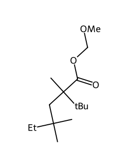 CCC(C)(C)CC(C)(C(=O)OCOC)C(C)(C)C